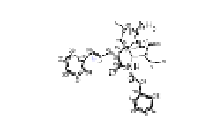 CCC(CC)C[C@@](CC(C)C)(C(=O)NN)[C@H](C/C=C/c1ccccc1)C(=O)NOCc1ccccc1